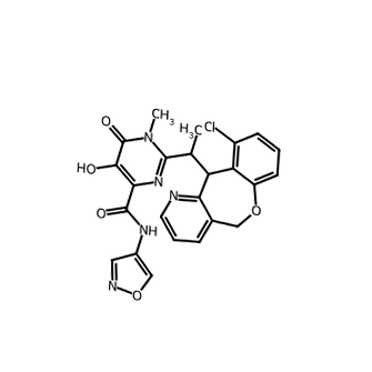 CC(c1nc(C(=O)Nc2cnoc2)c(O)c(=O)n1C)C1c2ncccc2COc2cccc(Cl)c21